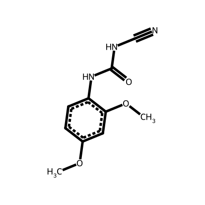 COc1ccc(NC(=O)NC#N)c(OC)c1